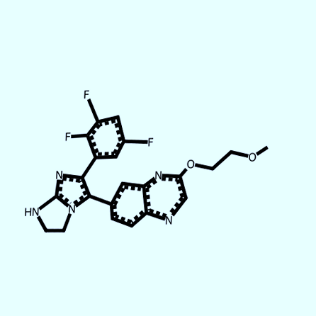 COCCOc1cnc2ccc(-c3c(-c4cc(F)cc(F)c4F)nc4n3CCN4)cc2n1